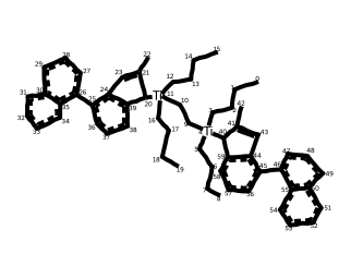 CCC[CH2][Ti]([CH2]CCC)([CH2][CH2][Ti]([CH2]CCC)([CH2]CCC)[CH]1C(C)=Cc2c(-c3cccc4ccccc34)cccc21)[CH]1C(C)=Cc2c(-c3cccc4ccccc34)cccc21